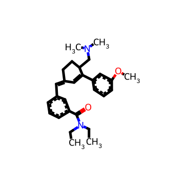 CCN(CC)C(=O)c1cccc(C=C2C=C(c3cccc(OC)c3)C(CN(C)C)CC2)c1